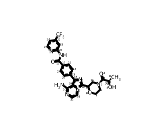 C[C@@H](O)C(=O)N1CCOC(c2nc(-c3ccc(C(=O)Nc4cc(C(F)(F)F)ccn4)cc3)c3c(N)nccn23)C1